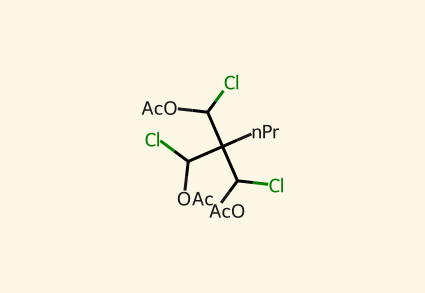 CCCC(C(Cl)OC(C)=O)(C(Cl)OC(C)=O)C(Cl)OC(C)=O